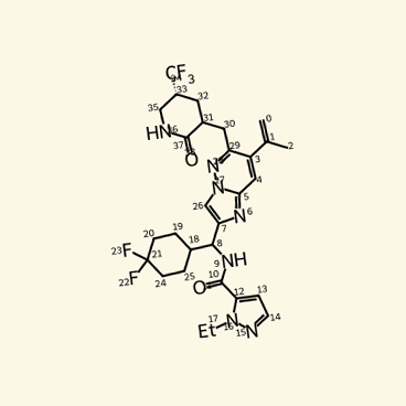 C=C(C)c1cc2nc(C(NC(=O)c3ccnn3CC)C3CCC(F)(F)CC3)cn2nc1CC1C[C@@H](C(F)(F)F)CNC1=O